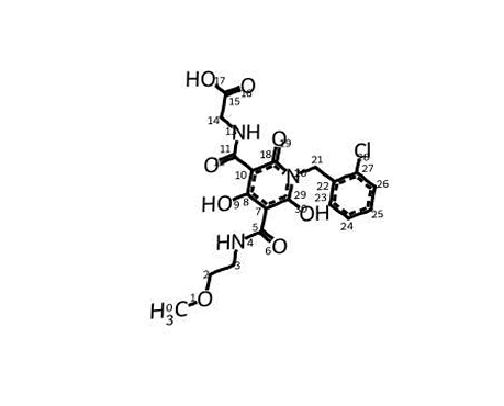 COCCNC(=O)c1c(O)c(C(=O)NCC(=O)O)c(=O)n(Cc2ccccc2Cl)c1O